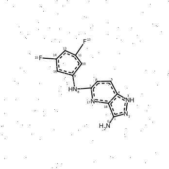 Nc1n[nH]c2ccc(Nc3cc(F)cc(F)c3)nc12